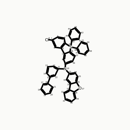 Clc1ccc2c(c1)-c1cc(N(c3cccc(-c4ccccc4)c3)c3ccc4oc5ccccc5c4c3)ccc1[Si]2(c1ccccc1)c1ccccc1